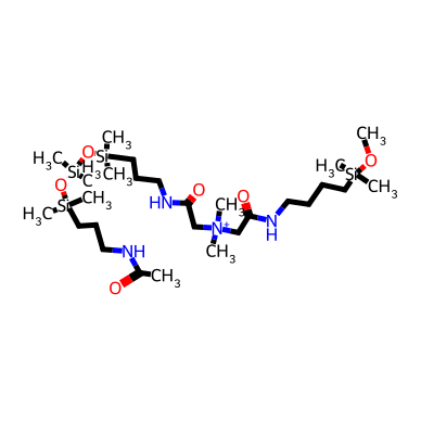 CO[Si](C)(C)CCCCNC(=O)C[N+](C)(C)CC(=O)NCCC[Si](C)(C)O[Si](C)(C)O[Si](C)(C)CCCNC(C)=O